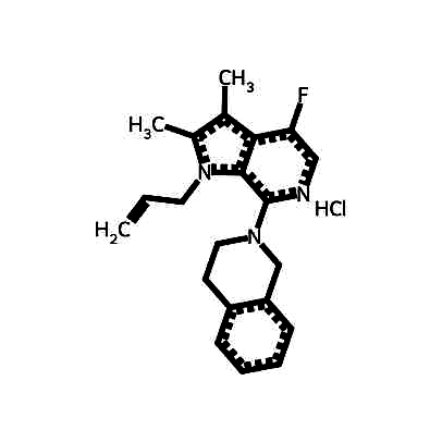 C=CCn1c(C)c(C)c2c(F)cnc(N3CCc4ccccc4C3)c21.Cl